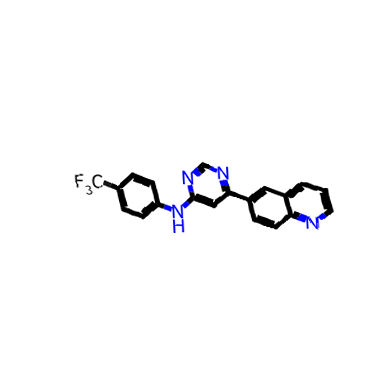 FC(F)(F)c1ccc(Nc2cc(-c3ccc4ncccc4c3)ncn2)cc1